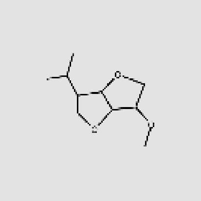 COC1COC2C(C(C)C)COC12